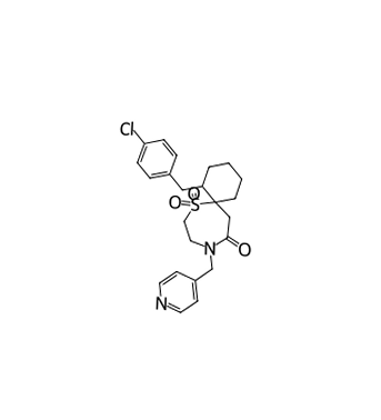 O=C1CC2(CCCCC2Cc2ccc(Cl)cc2)S(=O)(=O)CCN1Cc1ccncc1